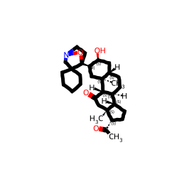 CC(=O)[C@H]1CC[C@H]2[C@@H]3CC[C@H]4C[C@H](O)[C@H](C56CCN(CC57CCCCC7)O6)C[C@]4(C)[C@H]3C(=O)C[C@]12C